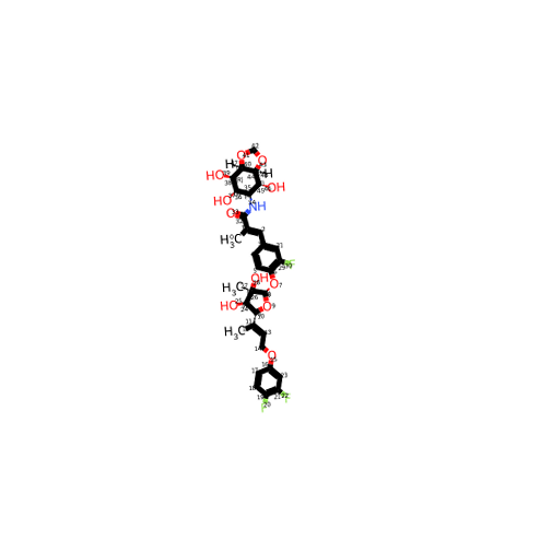 CC(=Cc1ccc(O[C@@H]2O[C@H](C(C)=CCOc3ccc(F)c(F)c3)[C@@H](O)[C@@]2(C)O)c(F)c1)C(=O)N[C@@H]1[C@H](O)[C@@H](O)[C@H]2OCO[C@H]2[C@@H]1O